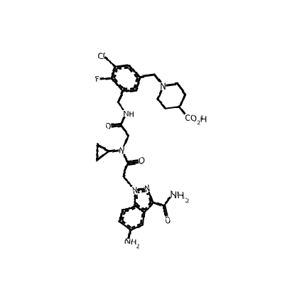 NC(=O)c1nn(CC(=O)N(CC(=O)NCc2cc(CN3CCC(C(=O)O)CC3)cc(Cl)c2F)C2CC2)c2ccc(N)cc12